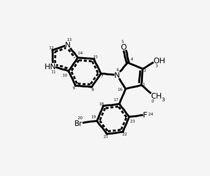 CC1=C(O)C(=O)N(c2ccc3[nH]cnc3c2)C1c1cc(Br)ccc1F